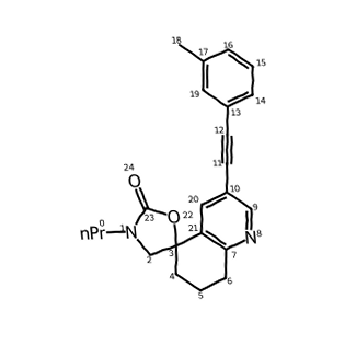 CCCN1CC2(CCCc3ncc(C#Cc4cccc(C)c4)cc32)OC1=O